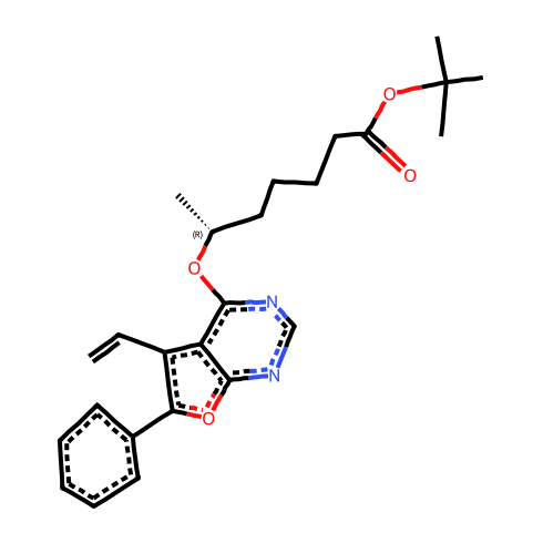 C=Cc1c(-c2ccccc2)oc2ncnc(O[C@H](C)CCCCC(=O)OC(C)(C)C)c12